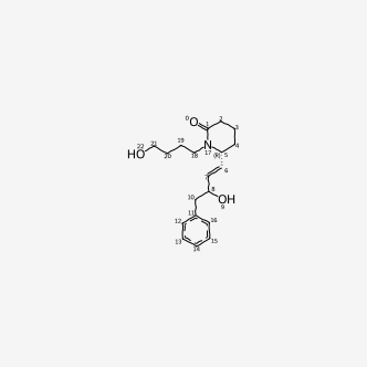 O=C1CCC[C@H](C=CC(O)Cc2ccccc2)N1CCCCO